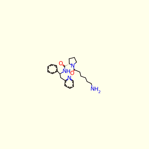 NCCCCCC(=O)N1CCC[C@H]1C(=O)NC(Cc1ccccn1)c1ccccc1